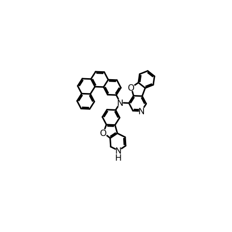 C1=Cc2c(oc3ccc(N(c4ccc5ccc6ccc7ccccc7c6c5c4)c4cncc5c4oc4ccccc45)cc23)CN1